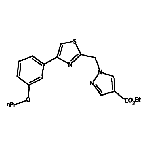 CCCOc1cccc(-c2csc(Cn3cc(C(=O)OCC)cn3)n2)c1